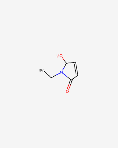 CC(C)CN1C(=O)C=CC1O